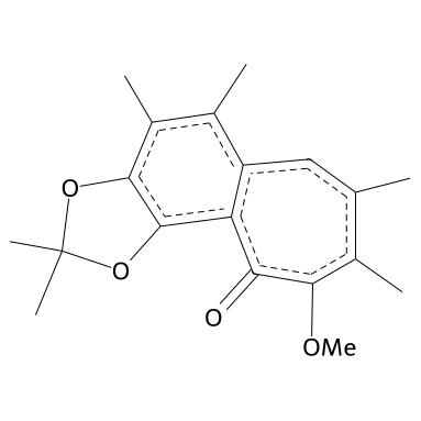 COc1c(C)c(C)cc2c(C)c(C)c3c(c2c1=O)OC(C)(C)O3